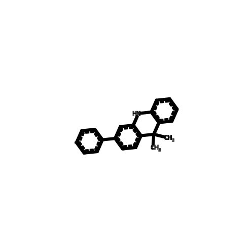 CC1(C)c2ccccc2Nc2cc(-c3cc[c]cc3)ccc21